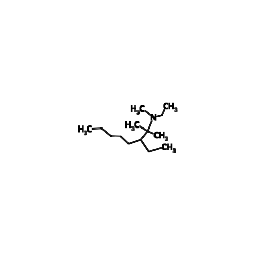 CCCCCC(CC)C(C)(C)N(C)CC